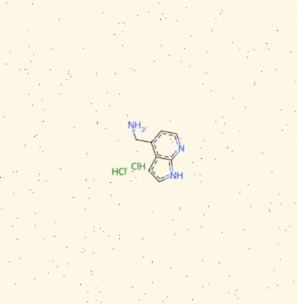 Cl.Cl.NCc1ccnc2[nH]ccc12